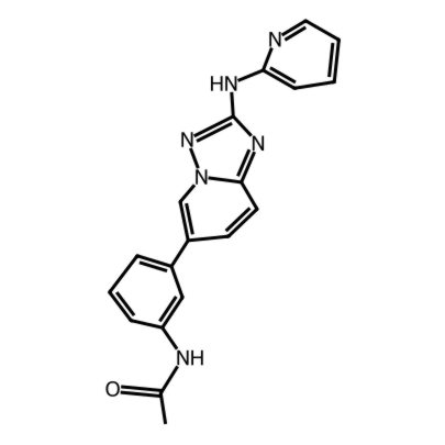 CC(=O)Nc1cccc(-c2ccc3nc(Nc4ccccn4)nn3c2)c1